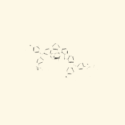 CC(C)(C)c1ccc(N(c2ccc([Si](C)(C)C)cc2)c2ccc3c(c2)C(C)(C)c2c-3ccc3c2C2(c4c-3ccc3oc5cc(N(c6ccc(C(C)(C)C)cc6)c6ccc([Si](C)(C)C)cc6)ccc5c43)C3CC4CC(C3)CC2C4)cc1